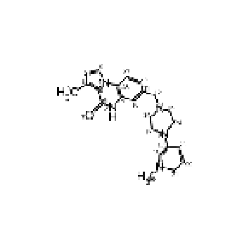 Cc1ccn2c1c(=O)[nH]c1cc(CN3CCN(C4=CN(C)CC=C4)CC3)ccc12